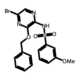 COc1cccc(S(=O)(=O)Nc2ncc(Br)nc2OCc2ccccc2)c1